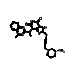 Cc1nc(C(C)n2c(=O)[nH]c(=O)c3[nH]c(CC#CCN4CCC[C@@H](N)C4)nc32)nc2ccccc12